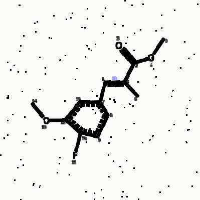 COC(=O)/C(C)=C/c1ccc(F)c(OC)c1